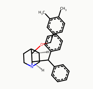 Cc1ccc(CO[C@@H]2C3CCN(CC3)[C@@H]2C(c2ccccc2)c2ccccc2)cc1C